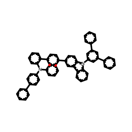 c1ccc(-c2ccc(N(c3ccccc3)c3ccccc3-c3ccc(-c4ccc5c(c4)c4ccccc4n5-c4cc(-c5ccccc5)cc(-c5ccccc5)c4)cc3)cc2)cc1